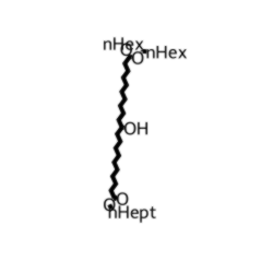 CCCCCCCOC(=O)CCCCCCCCCC(O)CCCCCCCCCC(=O)OC(CCCCCC)CCCCCC